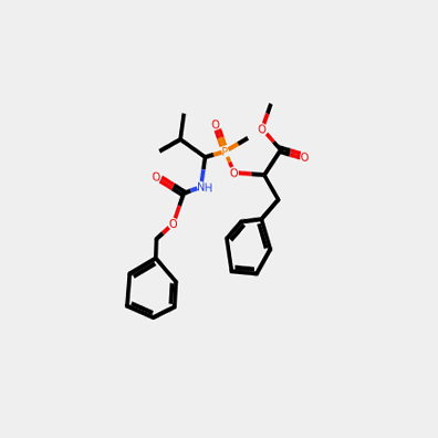 COC(=O)C(Cc1ccccc1)OP(C)(=O)C(NC(=O)OCc1ccccc1)C(C)C